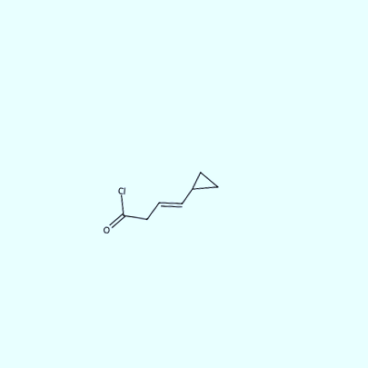 O=C(Cl)CC=CC1CC1